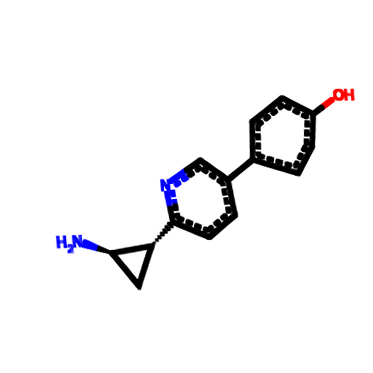 N[C@@H]1C[C@H]1c1ccc(-c2ccc(O)cc2)cn1